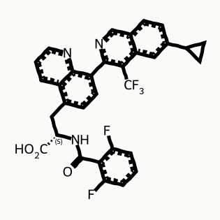 O=C(N[C@@H](Cc1ccc(-c2ncc3ccc(C4CC4)cc3c2C(F)(F)F)c2ncccc12)C(=O)O)c1c(F)cccc1F